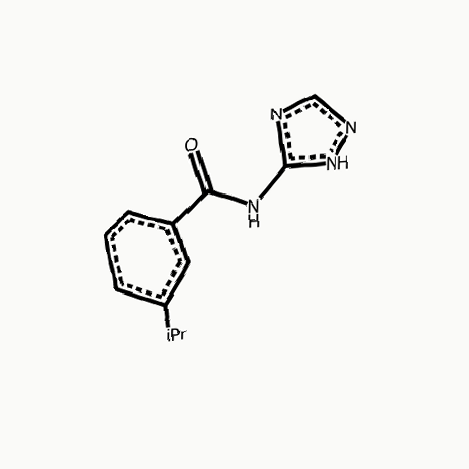 CC(C)c1cccc(C(=O)Nc2ncn[nH]2)c1